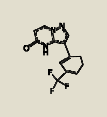 O=c1ccn2ncc(C3=CC(C(F)(F)F)=CCC3)c2[nH]1